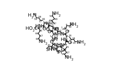 CC(C)C[C@H](NC(=O)[C@H](CCCCN)NC(=O)[C@H](CCCCN)NC(=O)[C@H](CCCCN)NC(=O)[C@H](CC(C)C)NC(=O)[C@@H](N)CS)C(=O)N[C@@H](CCCCN)C(=O)N[C@@H](CCCCN)C(=O)N[C@@H](CCCCN)C(=O)O